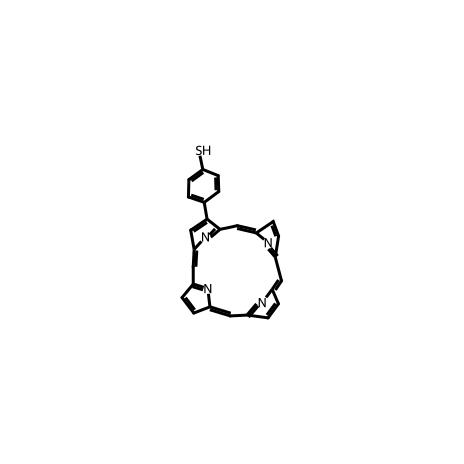 Sc1ccc(C2=CC3=CC4=NC(=CC5=NC(=CC6=NC(=CC2=N3)C=C6)C=C5)C=C4)cc1